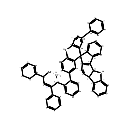 NC(/C=C(/c1ccccc1)[C@H](N)c1ccccc1-c1ccc2c(c1)C1(C3=C(c4ccccc41)C1Sc4ccccc4C1C=C3)c1cc(-c3ccccc3)ccc1O2)C1=CC=CCC1